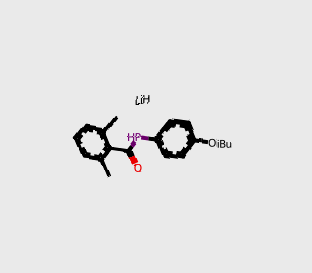 Cc1cccc(C)c1C(=O)Pc1ccc(OCC(C)C)cc1.[LiH]